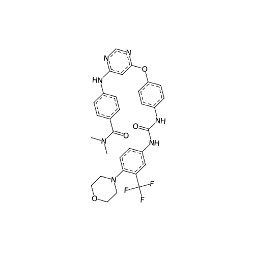 CN(C)C(=O)c1ccc(Nc2cc(Oc3ccc(NC(=O)Nc4ccc(N5CCOCC5)c(C(F)(F)F)c4)cc3)ncn2)cc1